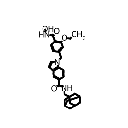 CCOc1cc(Cn2ccc3cc(C(=O)NCC45CC6CC(CC(C6)C4)C5)ccc32)ccc1C(=O)NO